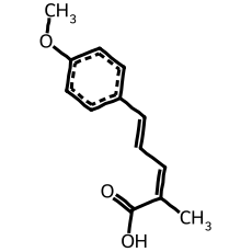 COc1ccc(C=CC=C(C)C(=O)O)cc1